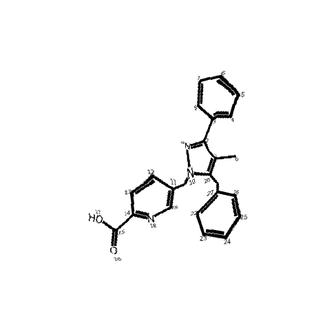 Cc1c(-c2ccccc2)nn(-c2ccc(C(=O)O)nc2)c1-c1ccccc1